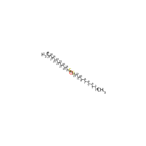 CCCCCCCCCCCCCCSOSCCCCCCCCCCCCCC